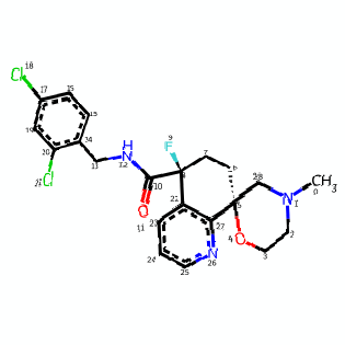 CN1CCO[C@]2(CC[C@@](F)(C(=O)NCc3ccc(Cl)cc3Cl)c3cccnc32)C1